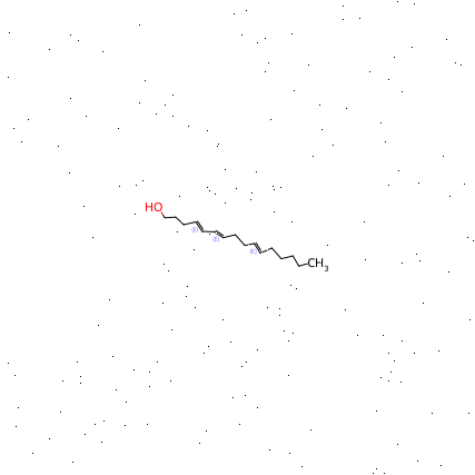 CCCCC/C=C/CC/C=C/C=C/CCCO